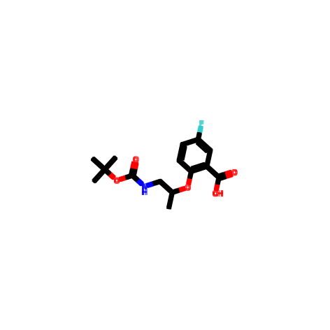 CC(CNC(=O)OC(C)(C)C)Oc1ccc(F)cc1C(=O)O